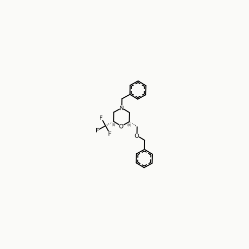 FC(F)(F)[C@@H]1CN(Cc2ccccc2)C[C@H](COCc2ccccc2)O1